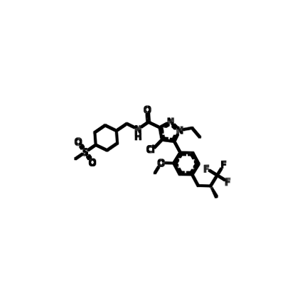 CCn1nc(C(=O)NCC2CCC(S(C)(=O)=O)CC2)c(Cl)c1-c1ccc(C[C@H](C)C(F)(F)F)cc1OC